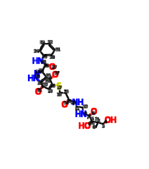 CC(C)(CO)[C@@H](O)C(=O)NCCNC(=O)CCSC1=CC(=O)c2[nH]nc(C(=O)Nc3ccccc3)c2C1=O